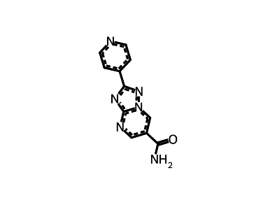 NC(=O)c1cnc2nc(-c3ccncc3)nn2c1